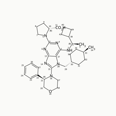 C[C@@H](Nc1nc(N2CCC[C@@H]2C(=O)O)nc2nc(N3CCOC[C@H]3c3ccccc3)n(C[C@H]3CC[C@H](C)CC3)c12)C1CCC1